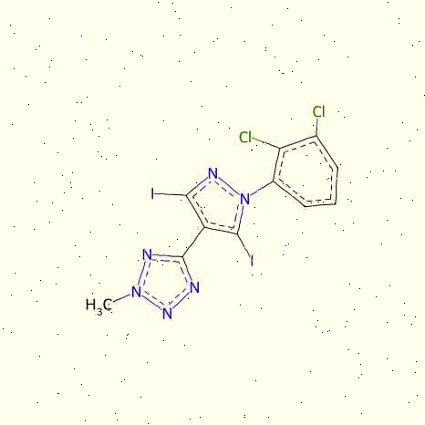 Cn1nnc(-c2c(I)nn(-c3cccc(Cl)c3Cl)c2I)n1